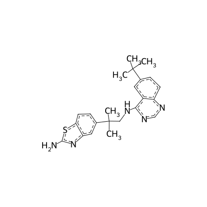 CC(C)(C)c1ccc2ncnc(NCC(C)(C)c3ccc4sc(N)nc4c3)c2c1